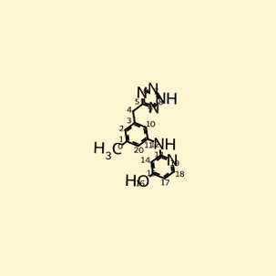 Cc1cc(Cc2nn[nH]n2)cc(Nc2cc(O)ccn2)c1